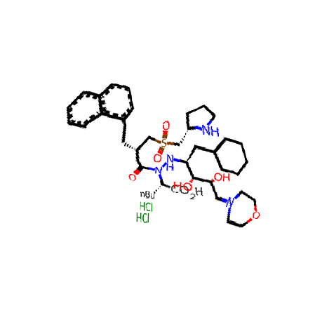 CCCC[C@@H](C(=O)O)N(N[C@@H](CC1CCCCC1)[C@@H](O)[C@@H](O)CN1CCOCC1)C(=O)[C@H](Cc1cccc2ccccc12)CS(=O)(=O)C[C@@H]1CCCN1.Cl.Cl